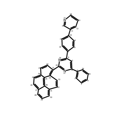 c1ccc(-c2cc(-c3ccc(-c4cccnc4)cc3)nc(-c3ccc4ccc5cccc6ccc3c4c56)n2)cc1